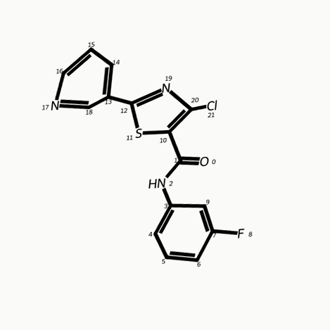 O=C(Nc1cccc(F)c1)c1sc(-c2cccnc2)nc1Cl